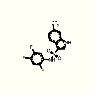 O=S(=O)(Nc1cc(F)c(F)cc1F)c1c[nH]c2cc(C(F)(F)F)ccc12